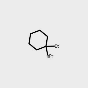 [CH2]CC1(CCC)CCCCC1